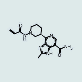 C=CC(=O)NN1CCC[C@@H](c2ncc(C(N)=O)c3[nH]c(C)nc23)C1